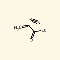 C=CC(=O)CC.N#N